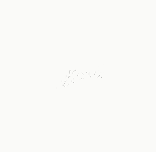 CCn1cc2ncc(N[C@@H](C)c3cccc(NC(=O)c4cnc(F)c(C)c4)c3)nc2n1